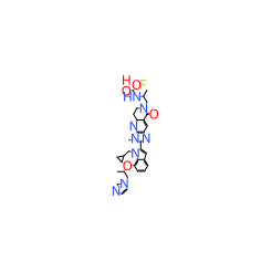 CC(Cn1ccnc1)Oc1cccc2cc(-c3nc4cc5c(nc4n3C)CCN(CC(CF)NC(=O)O)C5=O)n(CC3CC3)c12